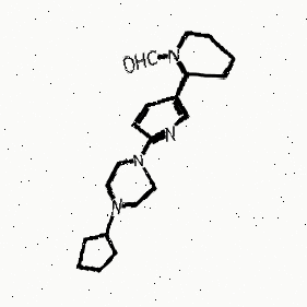 O=CN1CCCCC1c1ccc(N2CCN(C3CCCC3)CC2)nc1